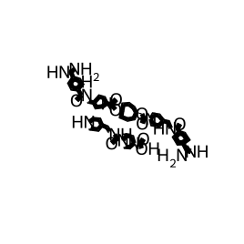 N=C(N)c1ccc(C(=O)NCC2CCN(C(=O)O[C@H]3CCC[C@@H](OC(=O)N4CCC(CNC(=O)c5ccc(C(=N)N)cc5)CC4)CCC3)CC2)cc1.O=C(O)N1CCN(C(=O)NCCC2CCNCC2)CC1